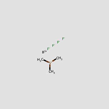 C[S+](C)C.[B+3].[F-].[F-].[F-].[F-]